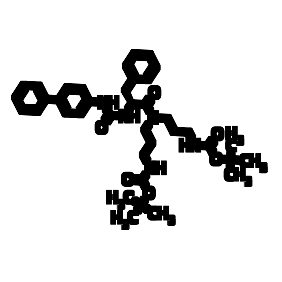 CC(C)(C)OC(=O)NCCCN(CCCNC(=O)OC(C)(C)C)C(=O)[C@H](Cc1ccccc1)NC(=O)Nc1ccc(-c2ccccc2)cc1